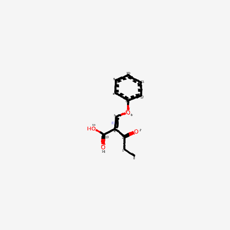 CCC(=O)/C(=C\Oc1ccccc1)C(=O)O